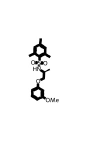 COc1cccc(OC[C@H](C)NS(=O)(=O)c2c(C)cc(C)cc2C)c1